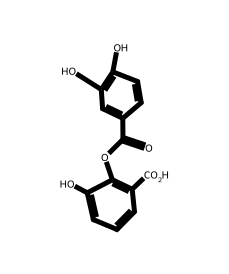 O=C(Oc1c(O)cccc1C(=O)O)c1ccc(O)c(O)c1